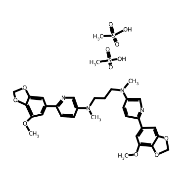 COc1cc(-c2ccc(N(C)CCCN(C)c3ccc(-c4cc(OC)c5c(c4)OCO5)nc3)cn2)cc2c1OCO2.CS(=O)(=O)O.CS(=O)(=O)O